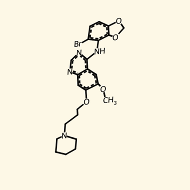 COc1cc2c(Nc3c(Br)ccc4c3OCO4)ncnc2cc1OCCCN1CCCCC1